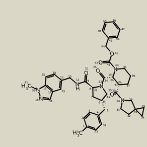 Cc1ccc(C[C@@H]2C[C@@H](C(=O)NCc3ccc4c(cnn4C)c3)N(C(=O)[C@H]3[C@@H](C(=O)N4CCC5(CC5)C4)CCCN3C(=O)OCc3ccccc3)C2)cc1